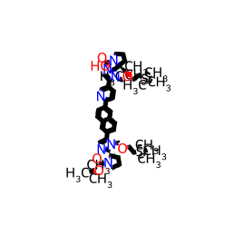 CC(C)(C)OC(=O)N1CCC[C@H]1c1ncc(-c2ccc3cc(-c4ccc(-c5cnc([C@@]6(C(C)(C)C)CCCN6C(=O)O)n5COCC[Si](C)(C)C)cn4)ccc3c2)n1COCC[Si](C)(C)C